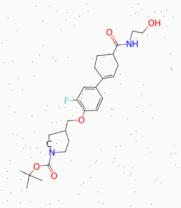 CC(C)(C)OC(=O)N1CCC(COc2ccc(C3=CCC(C(=O)NCCO)CC3)cc2F)CC1